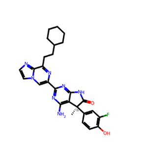 C[C@@]1(c2ccc(O)c(F)c2)C(=O)Nc2nc(-c3cn4ccnc4c(CCC4CCCCC4)n3)nc(N)c21